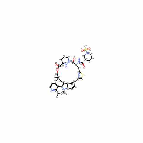 CCn1c(-c2cccnc2[C@H](C)OC)c2c3cc(ccc31)-c1csc(n1)C[C@H](NC(=O)[C@H]1CCCN(S(C)(=O)=O)C1)C(=O)N1CCC[C@H](N1)C(=O)OCC(C)(C)C2